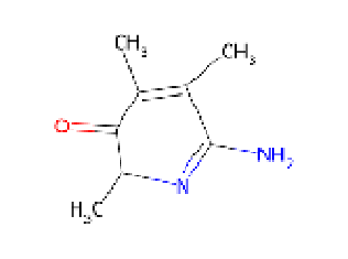 CC1=C(C)C(N)=NC(C)C1=O